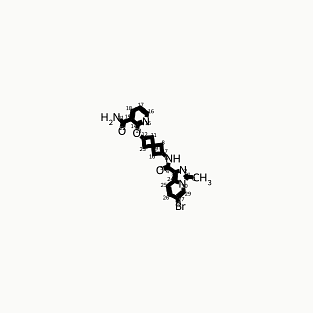 Cc1nc(C(=O)NC2CC3(C2)CC(Oc2ncccc2C(N)=O)C3)c2ccc(Br)cn12